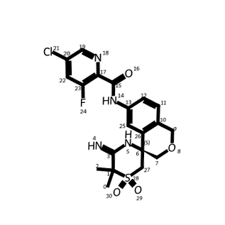 CC1(C)C(=N)N[C@@]2(COCc3ccc(NC(=O)c4ncc(Cl)cc4F)cc32)CS1(=O)=O